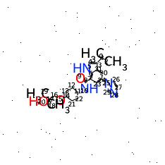 CC(C)c1c[nH]c2c(C(=O)N[C@H]3CC[C@H](OCC(C)(C)O)CC3)cc(-n3ccnc3)cc12